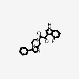 O=C(C(=O)N1CCn2c(-c3ccccc3)cnc2C1)c1c[nH]c2cccc(F)c12